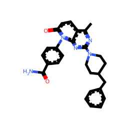 Cc1nc(N2CCC(Cc3ccccc3)CC2)nc2c1ccc(=O)n2-c1ccc(C(N)=O)cc1